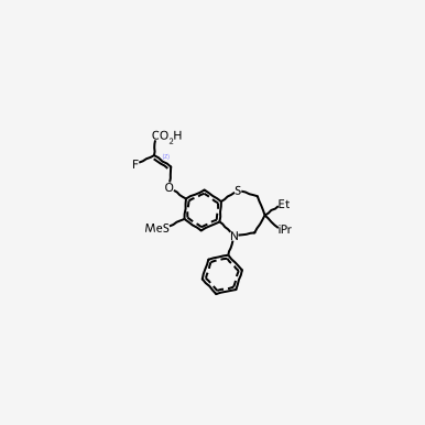 CCC1(C(C)C)CSc2cc(O/C=C(\F)C(=O)O)c(SC)cc2N(c2ccccc2)C1